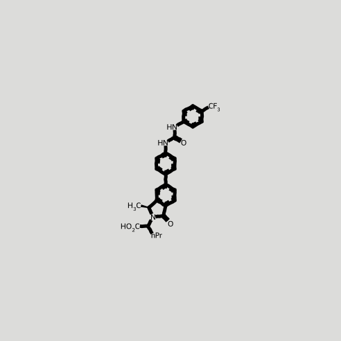 CCCC(C(=O)O)N1C(=O)c2ccc(-c3ccc(NC(=O)Nc4ccc(C(F)(F)F)cc4)cc3)cc2[C@@H]1C